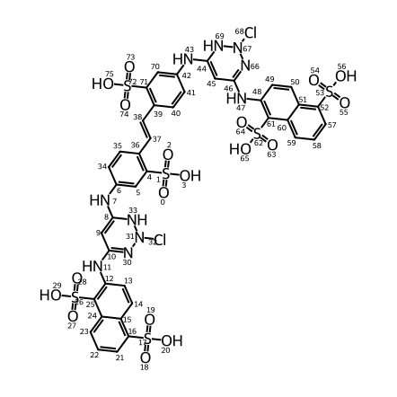 O=S(=O)(O)c1cc(NC2=CC(Nc3ccc4c(S(=O)(=O)O)cccc4c3S(=O)(=O)O)=NN(Cl)N2)ccc1C=Cc1ccc(NC2=CC(Nc3ccc4c(S(=O)(=O)O)cccc4c3S(=O)(=O)O)=NN(Cl)N2)cc1S(=O)(=O)O